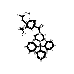 CC(O)Cc1ccc(C(=O)N2CCN(C(c3ccccc3)(c3ccccc3)c3ccccc3)CC2)cc1[N+](=O)[O-]